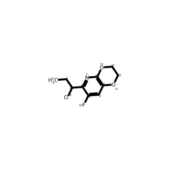 CCC(Cl)c1nc2c(cc1F)OCCO2